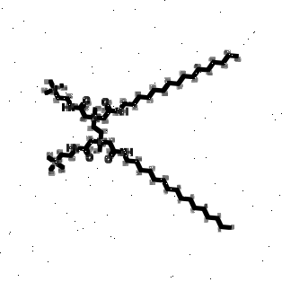 CCCCCCCCCCCCCCCCNC(=O)C[N+](C)(CC[N+](C)(CC(=O)NCCCCCCCCCCCCCCCC)CC(=O)NCC[N+](C)(C)C)CC(=O)NCC[N+](C)(C)C